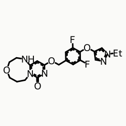 CCn1cc(Oc2c(F)cc(COc3cc4n(c(=O)n3)CCCOCCN4)cc2F)cn1